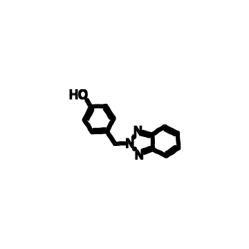 Oc1ccc(Cn2nc3ccccc3n2)cc1